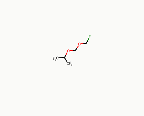 FCOCOC(C(F)(F)F)C(F)(F)F